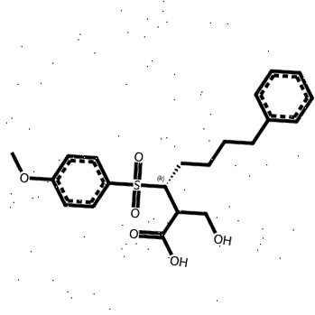 COc1ccc(S(=O)(=O)[C@H](CCCCc2ccccc2)C(CO)C(=O)O)cc1